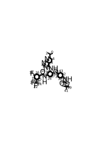 CC(C)c1ccc2c(Nc3cc(NC(=O)c4cc(F)cc(C(F)(F)F)c4)ccc3Oc3ccc(NC(=O)OC(C)(C)C)cc3)ncnc2n1